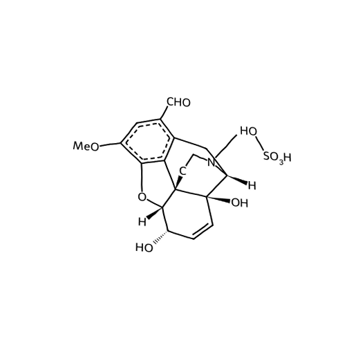 COc1cc(C=O)c2c3c1O[C@H]1[C@@H](O)C=C[C@@]4(O)[C@@H](C2)N(C)CC[C@]314.O=S(=O)(O)O